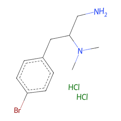 CN(C)C(CN)Cc1ccc(Br)cc1.Cl.Cl